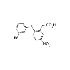 O=C(O)Cc1cc([N+](=O)[O-])ccc1Sc1cccc(Br)c1